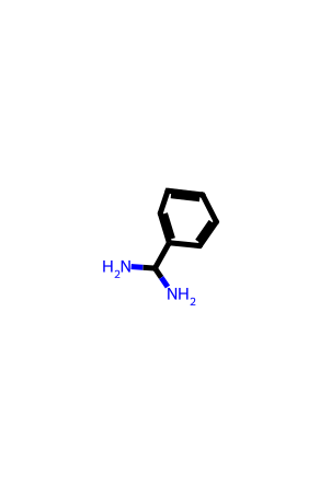 NC(N)c1ccccc1